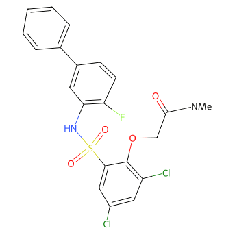 CNC(=O)COc1c(Cl)cc(Cl)cc1S(=O)(=O)Nc1cc(-c2ccccc2)ccc1F